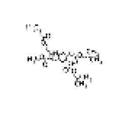 CCCC(=O)OCCN[C@@H](Cc1ccc(OC(=O)OCC(C)C)c(OC(=O)OCC(C)C)c1)C(=O)OC